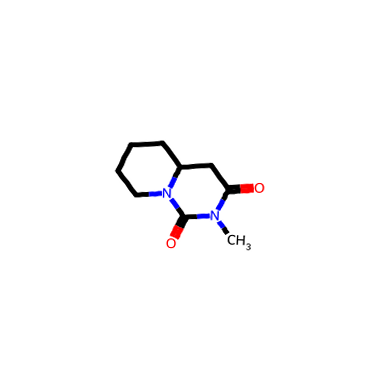 CN1C(=O)CC2CCCCN2C1=O